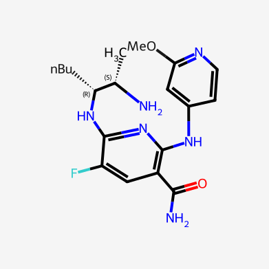 CCCC[C@@H](Nc1nc(Nc2ccnc(OC)c2)c(C(N)=O)cc1F)[C@H](C)N